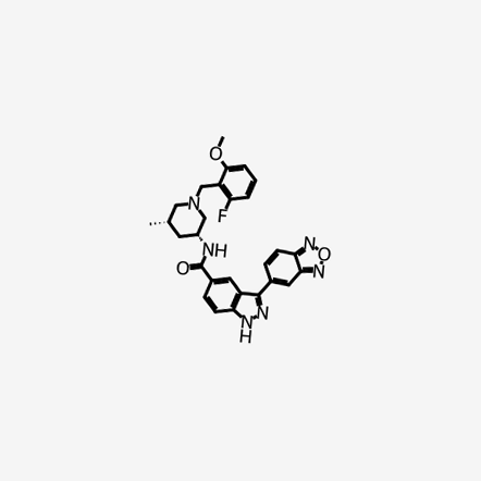 COc1cccc(F)c1CN1C[C@@H](C)C[C@@H](NC(=O)c2ccc3[nH]nc(-c4ccc5nonc5c4)c3c2)C1